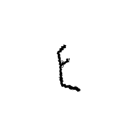 CCCCCC/C=C\CCSSCCCCC(CCCCSSCC/C=C\CCCCCC)OC(=O)CCCN(C)C